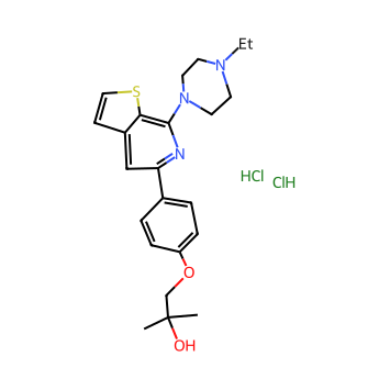 CCN1CCN(c2nc(-c3ccc(OCC(C)(C)O)cc3)cc3ccsc23)CC1.Cl.Cl